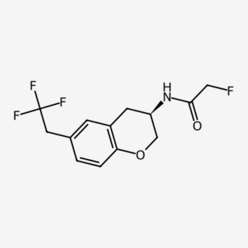 O=C(CF)N[C@H]1COc2ccc(CC(F)(F)F)cc2C1